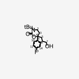 CC(C)(C)N1CCC(CCCO)(c2ccc(F)cc2)OC1=O